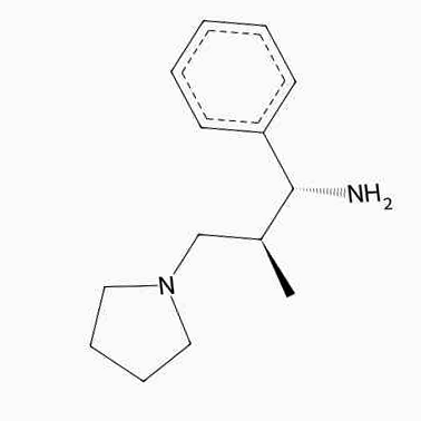 C[C@@H](CN1CCCC1)[C@@H](N)c1ccccc1